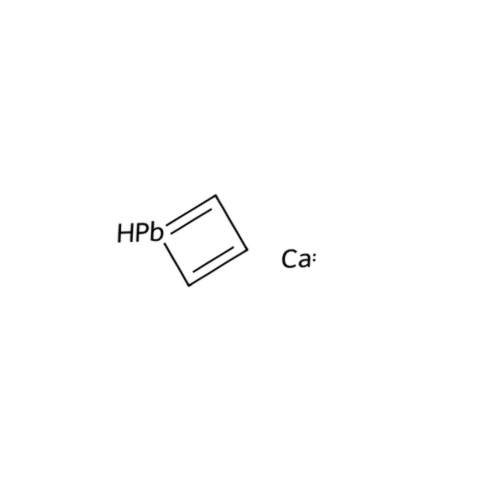 C1=[CH][PbH]=[CH]1.[Ca]